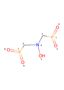 O=P(=O)CN(O)CP(=O)=O